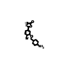 NC1CCC(COc2cc(-c3n[nH]c(=O)o3)ccc2Br)CC1